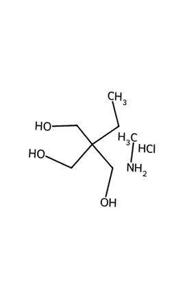 CCC(CO)(CO)CO.CN.Cl